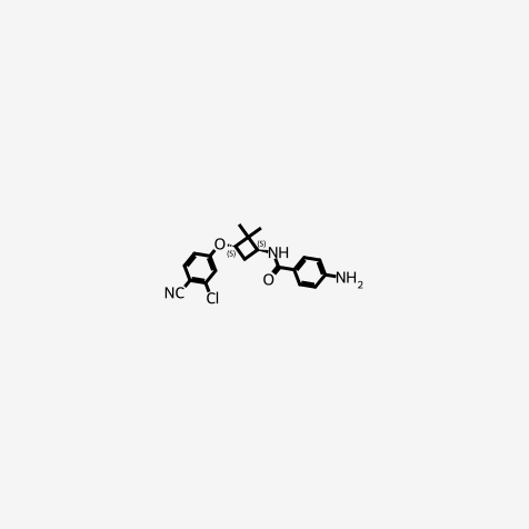 CC1(C)[C@@H](NC(=O)c2ccc(N)cc2)C[C@@H]1Oc1ccc(C#N)c(Cl)c1